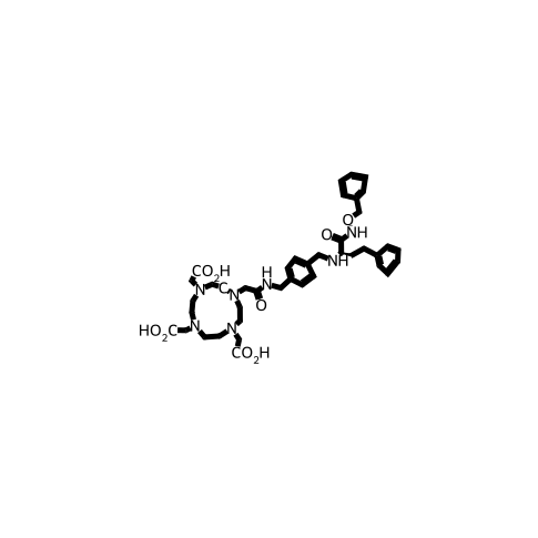 O=C(O)CN1CCN(CC(=O)O)CCN(CC(=O)NCc2ccc(CN[C@H](CCc3ccccc3)C(=O)NOCc3ccccc3)cc2)CCN(CC(=O)O)CC1